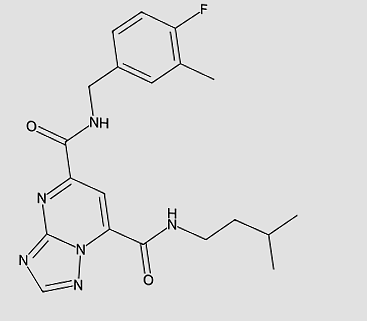 Cc1cc(CNC(=O)c2cc(C(=O)NCCC(C)C)n3ncnc3n2)ccc1F